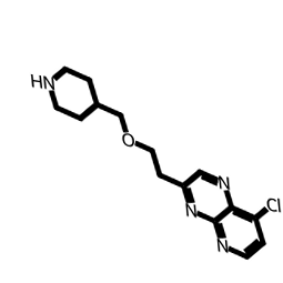 Clc1ccnc2nc(CCOCC3CCNCC3)cnc12